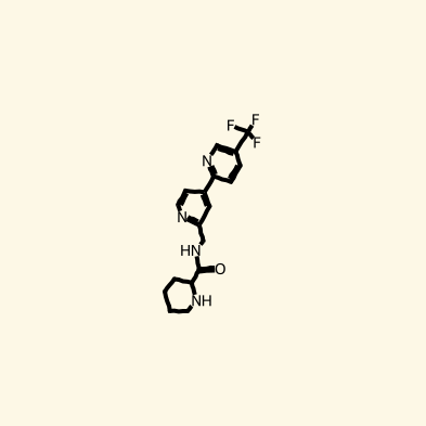 O=C(NCc1cc(-c2ccc(C(F)(F)F)cn2)ccn1)C1CCCCN1